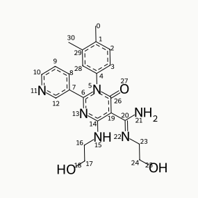 Cc1ccc(-n2c(-c3cccnc3)nc(NCCO)c(C(N)=NCCO)c2=O)cc1C